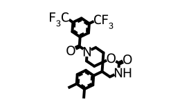 Cc1ccc(C2CNC(=O)OC23CCN(C(=O)c2cc(C(F)(F)F)cc(C(F)(F)F)c2)CC3)cc1C